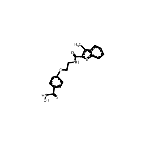 Cc1c(C(=O)NCCOc2ccc(C(=S)NO)cc2)sc2ccccc12